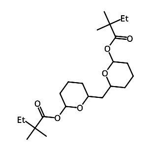 CCC(C)(C)C(=O)OC1CCCC(CC2CCCC(OC(=O)C(C)(C)CC)O2)O1